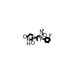 C=N/C(=N\C=C(/C)N1CCC(=O)NC1=O)Oc1c(F)cccc1F